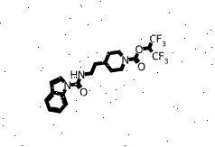 O=C(OC(C(F)(F)F)C(F)(F)F)N1CCC(CCNC(=O)n2ccc3ccccc32)CC1